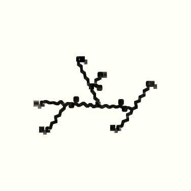 CCCCCCCCC(CCCCCC)COC(=O)CCCCCN(CCCCCC(=O)OCC(CCCCCC)CCCCCCCC)CCCCN(CCCCCCCC)C(=O)CCO